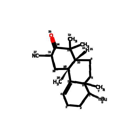 CCCCC1CCC=C2C1(C)CC[C@H]1C(C)(C)C(=O)C(C#N)C[C@]21C